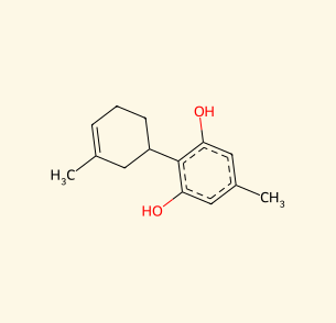 CC1=CCCC(c2c(O)cc(C)cc2O)C1